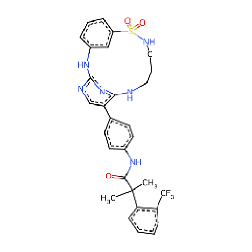 CC(C)(C(=O)Nc1ccc(-c2cnc3nc2NCCCNS(=O)(=O)c2cccc(c2)N3)cc1)c1ccccc1C(F)(F)F